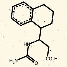 NC(=O)NC(CC(=O)O)C1CCCc2ccccc21